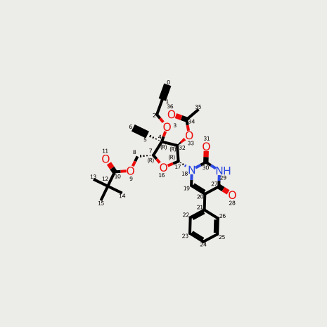 C#CCO[C@]1(C#C)[C@@H](COC(=O)C(C)(C)C)O[C@@H](n2cc(-c3ccccc3)c(=O)[nH]c2=O)[C@@H]1OC(C)=O